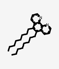 CCCCCCCCc1c(CCCCCCCC)c2cccnc2c2ncccc12